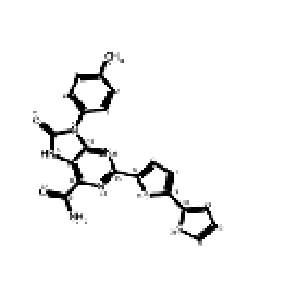 Cc1ccc(-n2c(=O)[nH]c3c(C(N)=O)nc(-c4ccc(-c5cccs5)s4)nc32)cc1